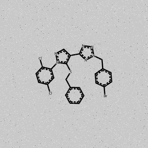 Clc1ccc(Cl)c(-n2ncc(-c3nnn(Cc4ccc(Br)cc4)n3)c2SCc2ccccc2)c1